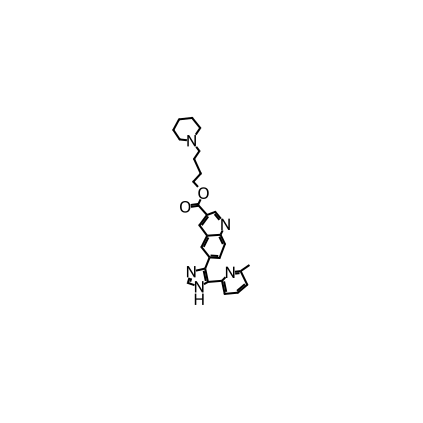 Cc1cccc(-c2[nH]cnc2-c2ccc3ncc(C(=O)OCCCCN4CCCCC4)cc3c2)n1